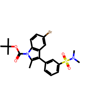 Cc1c(-c2cccc(S(=O)(=O)N(C)C)c2)c2cc(Br)ccc2n1C(=O)OC(C)(C)C